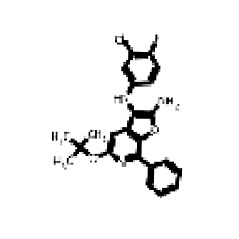 CC(C)(C)Oc1cc2c(Nc3ccc(F)c(Cl)c3)c(N)oc2c(-c2ccccc2)n1